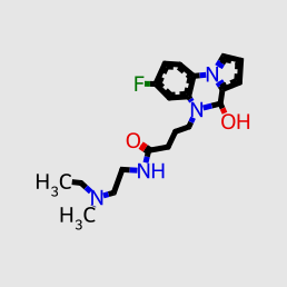 CCN(C)CCNC(=O)CCCN1c2cc(F)ccc2-n2cccc2C1O